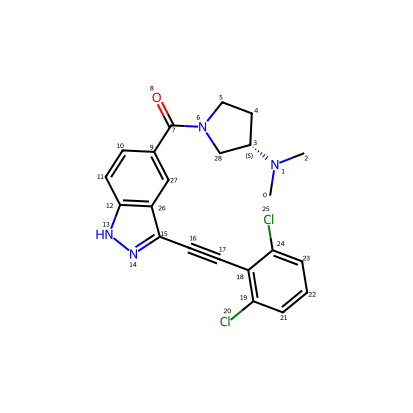 CN(C)[C@H]1CCN(C(=O)c2ccc3[nH]nc(C#Cc4c(Cl)cccc4Cl)c3c2)C1